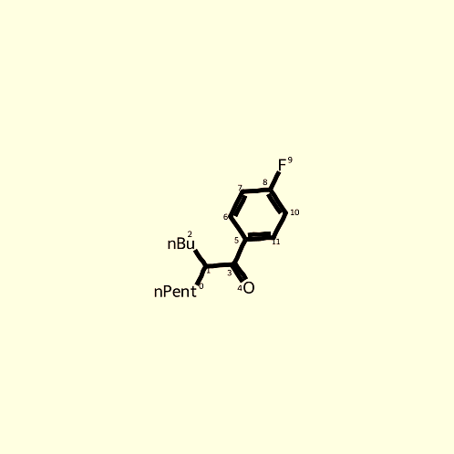 CCCCCC(CCCC)C(=O)c1ccc(F)cc1